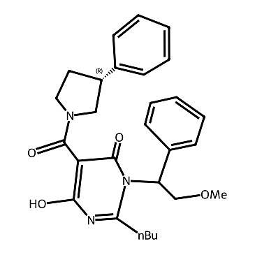 CCCCc1nc(O)c(C(=O)N2CC[C@H](c3ccccc3)C2)c(=O)n1C(COC)c1ccccc1